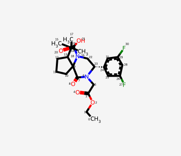 CCOC(=O)CN1C(=O)C2(CCCC2C(C)(C)C)N(C(=O)O)C[C@@H]1c1cc(F)cc(F)c1